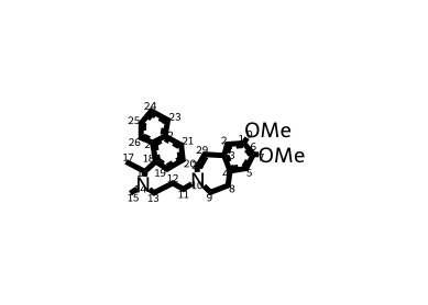 COc1cc2c(cc1OC)CCN(CCCN(C)C(C)c1cccc3ccccc13)C=C2